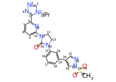 CC(C)n1cnnc1-c1cccc(N2CCN(c3cccc(-c4cnn(S(C)(=O)=O)c4)c3)C2=O)n1